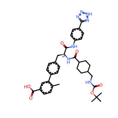 Cc1ccc(C(=O)O)cc1-c1ccc(C[C@H](NC(=O)C2CCC(CNC(=O)OC(C)(C)C)CC2)C(=O)Nc2ccc(-c3nn[nH]n3)cc2)cc1